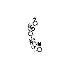 O=C(Nc1nnc(-c2ccc(OS(=O)(=O)c3cccc(Br)c3)cc2)s1)c1c(F)cccc1F